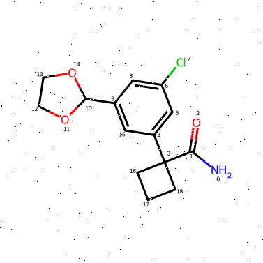 NC(=O)C1(c2cc(Cl)cc(C3OCCO3)c2)CCC1